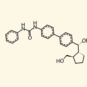 O=C(Nc1ccccc1)Nc1ccc(-c2ccc([C@H](O)[C@@H]3CCC[C@H]3CO)cc2)cc1